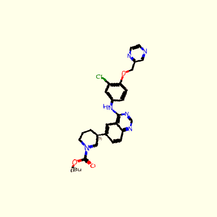 CC(C)(C)OC(=O)N1CCC[C@@H](c2ccc3ncnc(Nc4ccc(OCc5cnccn5)c(Cl)c4)c3c2)C1